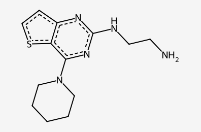 NCCNc1nc(N2CCCCC2)c2sccc2n1